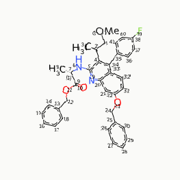 COCC(C)c1c(N[C@@H](C)C(=O)OCc2ccccc2)nc2cc(OCc3ccccc3)ccc2c1-c1ccc(F)cc1